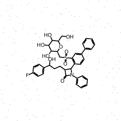 O=C1C(CCC(O)c2ccc(F)cc2)C(c2ccc(-c3ccccc3)cc2S(=O)(=O)CC2OC(CO)C(O)C(O)C2O)N1c1ccccc1